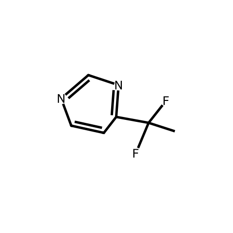 CC(F)(F)c1ccncn1